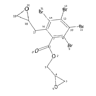 O=C(OCC1CO1)c1c(Br)c(Br)c(Br)c(Br)c1CC1CO1